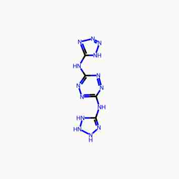 N1=C(Nc2nnc(Nc3nnn[nH]3)nn2)NNN1